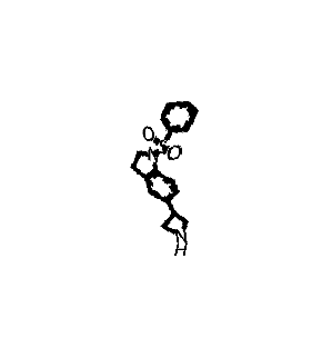 O=S(=O)(c1ccccc1)N1CCc2cc(C3CNC3)ccc21